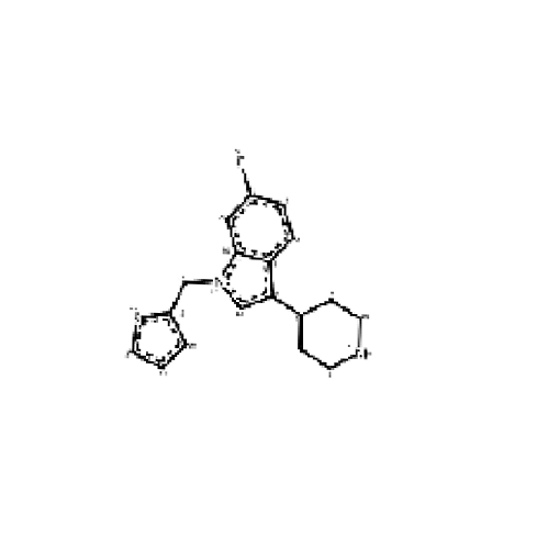 Fc1ccc2c(C3CCNCC3)cn(Cc3cccs3)c2c1